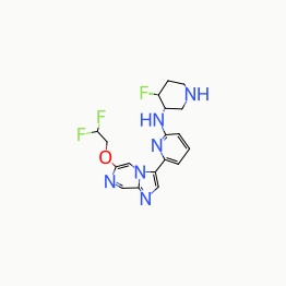 FC(F)COc1cn2c(-c3cccc(N[C@H]4CNCC[C@@H]4F)n3)cnc2cn1